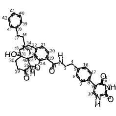 O=C(NCCc1ccc(-c2c[nH]c(=O)[nH]c2=O)cc1)c1ccc2c3c1O[C@@H]1C(=O)CCC4(O)C(C2)N(CCc2ccccc2)CC[C@]314